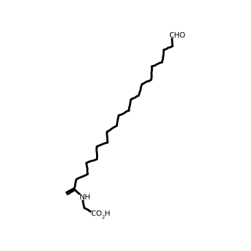 C=C(CCCCCCCCCCCCCCCCCCC=O)NCC(=O)O